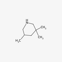 CC1CNCC(C)(C)C1